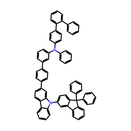 c1ccc(-c2ccccc2-c2ccc(N(c3ccccc3)c3cccc(-c4ccc(-c5ccc6c7ccccc7n(-c7ccc8c(c7)-c7ccccc7C8(c7ccccc7)c7ccccc7)c6c5)cc4)c3)cc2)cc1